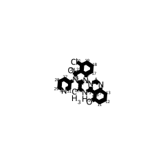 C[C@H](Nc1ncnc2c1C(=O)C=CC2)c1nc2cccc(Cl)c2c(=O)n1-c1cccnc1